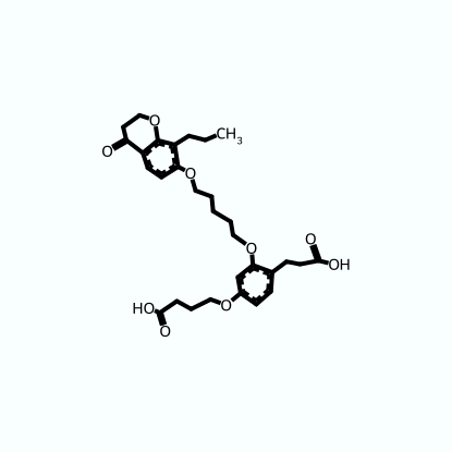 CCCc1c(OCCCCCOc2cc(OCCCC(=O)O)ccc2CCC(=O)O)ccc2c1OCCC2=O